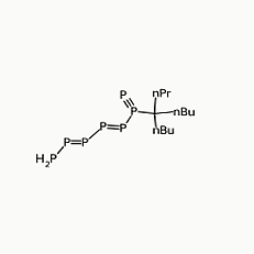 CCCCC(CCC)(CCCC)P(#P)P=PP=PP